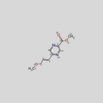 COC/C=C/c1cnc(C(=O)OC)cn1